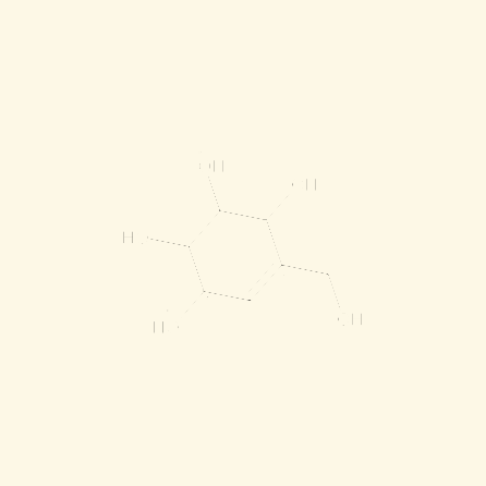 OCC1=CC(O)C(O)C(O)C1O